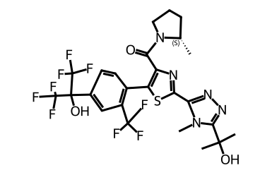 C[C@H]1CCCN1C(=O)c1nc(-c2nnc(C(C)(C)O)n2C)sc1-c1ccc(C(O)(C(F)(F)F)C(F)(F)F)cc1C(F)(F)F